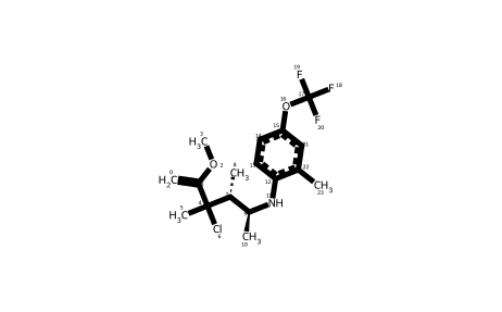 C=C(OC)C(C)(Cl)[C@H](C)[C@H](C)Nc1ccc(OC(F)(F)F)cc1C